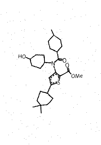 COC(=O)c1sc(C2CCC(C)(C)CC2)cc1N(C(=O)C1CCC(C)CC1)C1CCC(O)CC1